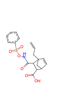 C=CCC12C=CC(C1)C(C(=O)O)C2C(=O)NOS(=O)(=O)c1ccccc1